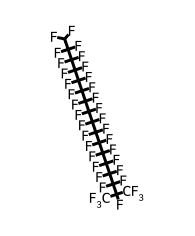 F[C](F)C(F)(F)C(F)(F)C(F)(F)C(F)(F)C(F)(F)C(F)(F)C(F)(F)C(F)(F)C(F)(F)C(F)(F)C(F)(F)C(F)(F)C(F)(F)C(F)(F)C(F)(C(F)(F)F)C(F)(F)F